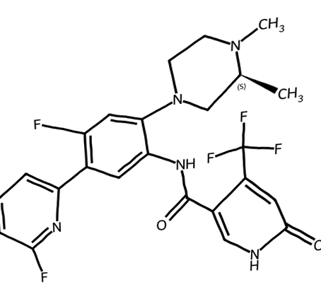 C[C@H]1CN(c2cc(F)c(-c3cccc(F)n3)cc2NC(=O)c2c[nH]c(=O)cc2C(F)(F)F)CCN1C